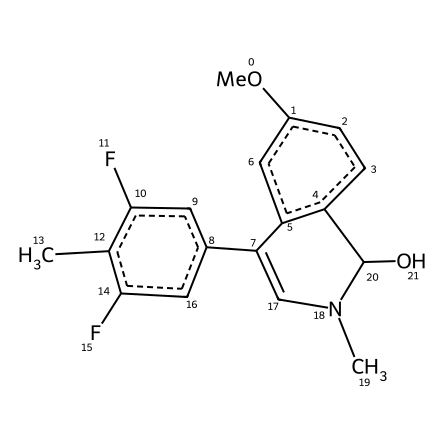 COc1ccc2c(c1)C(c1cc(F)c(C)c(F)c1)=CN(C)C2O